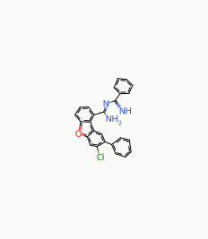 N=C(/N=C(\N)c1cccc2oc3cc(Cl)c(-c4ccccc4)cc3c12)c1ccccc1